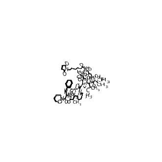 CCC(C)C(C(CC(=O)N1CCC[C@H]1C(OC)C(C)C(=O)NC(Cc1ccccc1)C(=O)N1CCCCO1)OC)N(C)C(=O)C(NC(=O)C(C(C)C)N(C)CCCC(=O)N(C)NC(=O)CCCCCN1C(=O)C=CC1=O)C(C)C